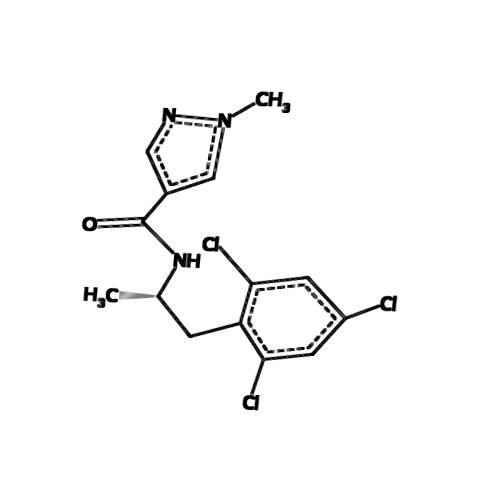 C[C@@H](Cc1c(Cl)cc(Cl)cc1Cl)NC(=O)c1cnn(C)c1